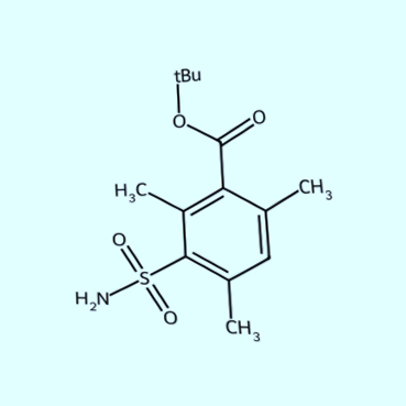 Cc1cc(C)c(S(N)(=O)=O)c(C)c1C(=O)OC(C)(C)C